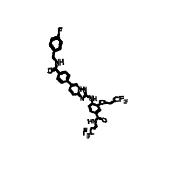 O=C(NCc1ccc(F)cc1)c1ccc(-c2ccc3nc(Nc4ccc(C(=O)NCC(F)(F)F)cc4OCC(F)(F)F)nn3c2)cc1